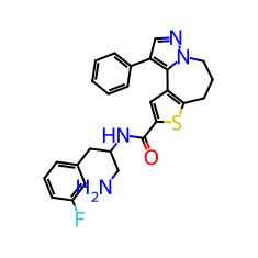 NCC(Cc1cccc(F)c1)NC(=O)c1cc2c(s1)CCCn1ncc(-c3ccccc3)c1-2